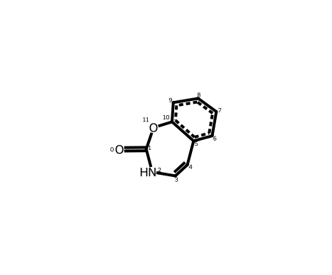 O=C1NC=Cc2ccccc2O1